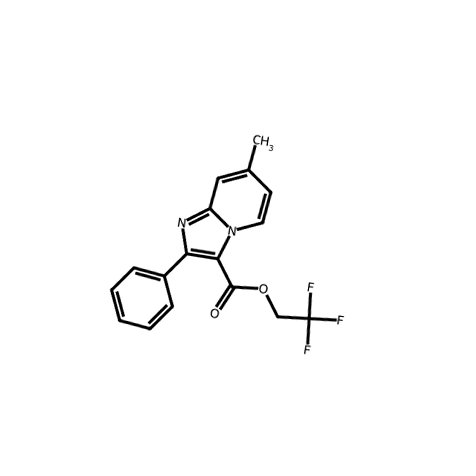 Cc1ccn2c(C(=O)OCC(F)(F)F)c(-c3ccccc3)nc2c1